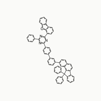 c1ccc(-c2nc(-c3ccc(-c4cccc(-c5ccc6ccc7c(c6c5)C(c5ccccc5)(c5ccccc5)c5ccccc5-7)c4)cc3)nc(-c3cccc4c3oc3ccccc34)n2)cc1